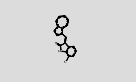 O=C1Nc2c(Cl)cccc2/C1=C/c1ccc2cccccc1-2